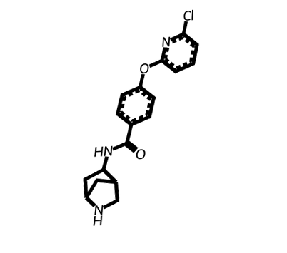 O=C(NC1CC2CC1CN2)c1ccc(Oc2cccc(Cl)n2)cc1